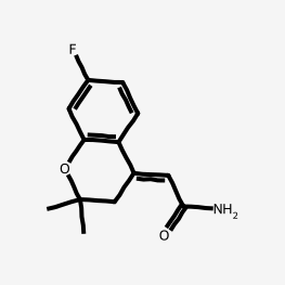 CC1(C)CC(=CC(N)=O)c2ccc(F)cc2O1